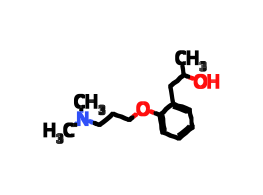 CC(O)Cc1ccccc1OCCCN(C)C